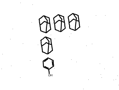 C1C2CC3CC1CC(C2)C3.C1C2CC3CC1CC(C2)C3.C1C2CC3CC1CC(C2)C3.C1C2CC3CC1CC(C2)C3.Oc1ccccc1